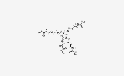 C=CC(=O)NCOCCOCC(COCCOCNC(=O)C=C)(COCCOCNC(=O)C=C)COOCNC(=O)C=C